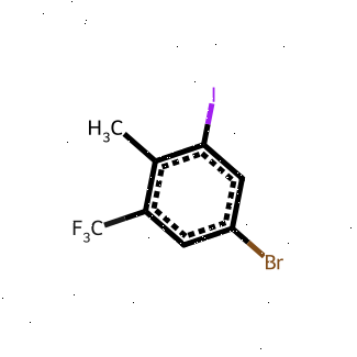 Cc1c(I)cc(Br)cc1C(F)(F)F